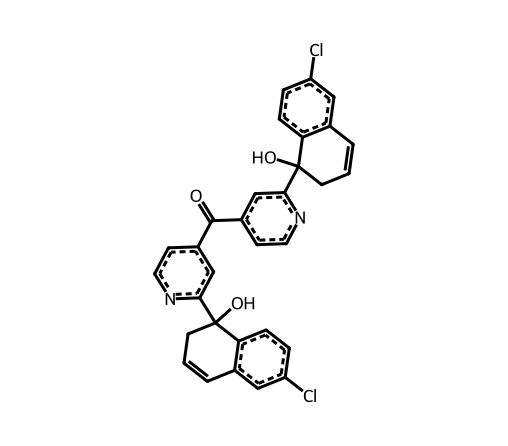 O=C(c1ccnc(C2(O)CC=Cc3cc(Cl)ccc32)c1)c1ccnc(C2(O)CC=Cc3cc(Cl)ccc32)c1